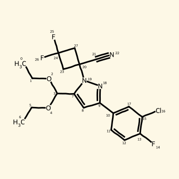 CCOC(OCC)c1cc(-c2ccc(F)c(Cl)c2)nn1C1(C#N)CC(F)(F)C1